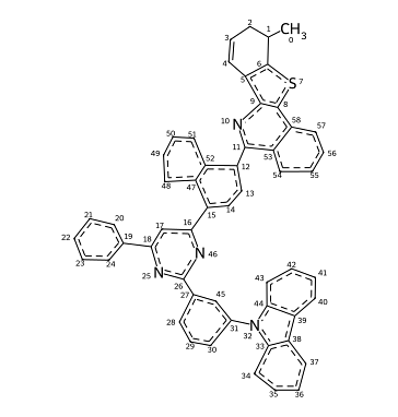 CC1CC=Cc2c1sc1c2nc(-c2ccc(-c3cc(-c4ccccc4)nc(-c4cccc(-n5c6ccccc6c6ccccc65)c4)n3)c3ccccc23)c2ccccc21